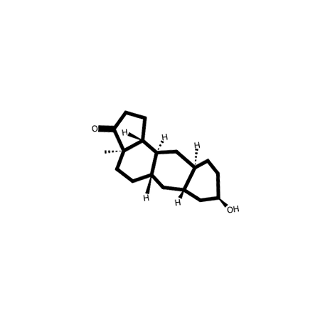 C[C@@]12CC[C@H]3C[C@H]4C[C@H](O)CC[C@@H]4C[C@@H]3[C@H]1CCC2=O